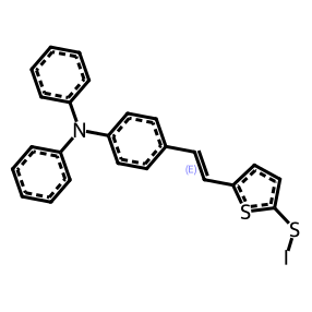 ISc1ccc(/C=C/c2ccc(N(c3ccccc3)c3ccccc3)cc2)s1